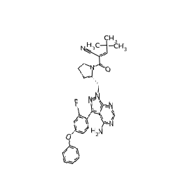 CC(C)(C)C=C(C#N)C(=O)N1CCC[C@H]1Cn1nc(-c2ccc(Oc3ccccc3)cc2F)c2c(N)ncnc21